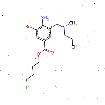 CCCN(C)Cc1cc(C(=O)OCCCCCl)cc(Br)c1N